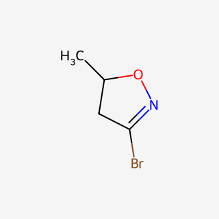 CC1CC(Br)=NO1